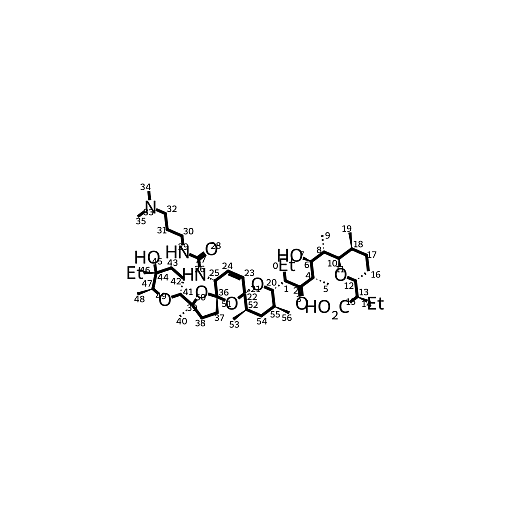 CCC(C(=O)[C@@H](C)[C@@H](O)[C@H](C)[C@@H]1O[C@@H]([C@@H](CC)C(=O)O)CC[C@@H]1C)[C@H]1O[C@]2(C=C[C@@H](NC(=O)NCCCN(C)C)[C@]3(CC[C@@](C)([C@H]4CC[C@](O)(CC)[C@H](C)O4)O3)O2)[C@H](C)C[C@@H]1C